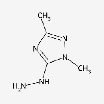 Cc1nc(NN)n(C)n1